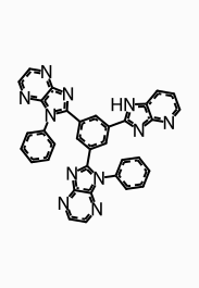 c1ccc(-n2c(-c3cc(-c4nc5ncccc5[nH]4)cc(-c4nc5nccnc5n4-c4ccccc4)c3)nc3nccnc32)cc1